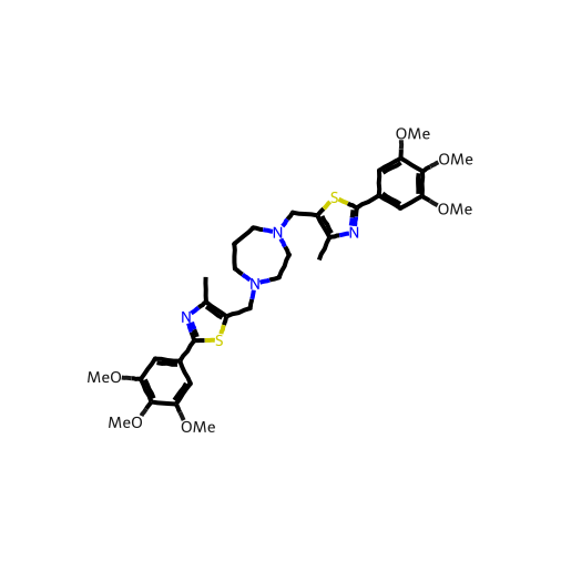 COc1cc(-c2nc(C)c(CN3CCCN(Cc4sc(-c5cc(OC)c(OC)c(OC)c5)nc4C)CC3)s2)cc(OC)c1OC